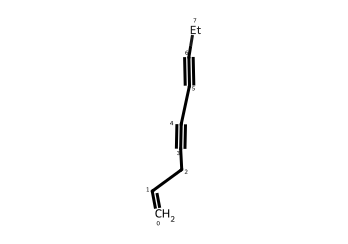 C=CCC#CC#CCC